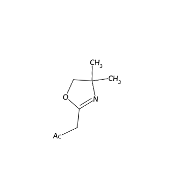 CC(=O)CC1=NC(C)(C)CO1